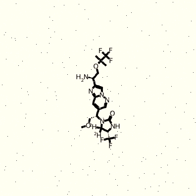 [2H]C1([2H])[C@@H](C(F)(F)F)NC(=O)N1[C@H](COC)c1cnn2cc([C@@H](N)COC(C)(C)C(F)(F)F)nc2c1